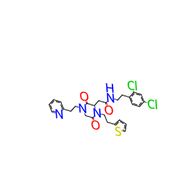 O=C(CC1C(=O)N(CCc2ccccn2)CC(=O)N1CCc1cccs1)NCCc1ccc(Cl)cc1Cl